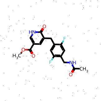 COC(=O)c1c[nH]c(=O)c(Cc2cc(F)c(CNC(C)=O)cc2F)c1